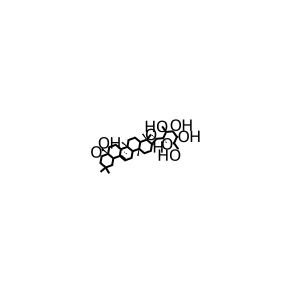 CC1(C)CC[C@]2(C(=O)O)CC[C@]3(C)C(=CCC4[C@@]5(C)CC[C@@H]6[C@@H]([C@H]7OC(CO)[C@H](O)C(O)C7O)O[C@@]6(C)C5CC[C@]43C)C2C1